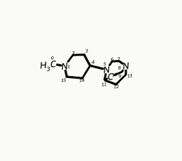 CN1CCC(N2CCN3CCC2CC3)CC1